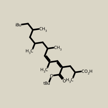 CCC(C)CC(C)CC(C)CC(C)C=C(C)C=C(CC(C)C(=O)O)C(=O)OC(C)(C)C